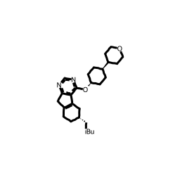 CCC(C)C[C@@H]1CCC2=C(C1)c1c(ncnc1O[C@H]1CC[C@H](C3CCOCC3)CC1)C2